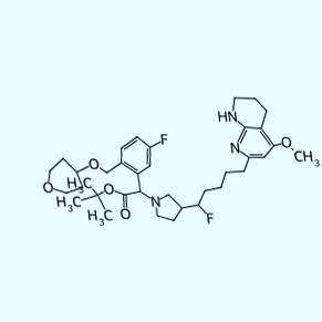 COc1cc(CCCCC(F)C2CCN(C(C(=O)OC(C)(C)C)c3cc(F)ccc3COC3CCOCC3)C2)nc2c1CCCN2